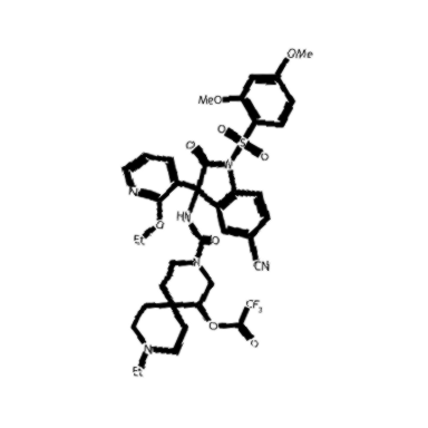 CCOc1ncccc1C1(NC(=O)N2CCC3(CCN(CC)CC3)C(OC(=O)C(F)(F)F)C2)C(=O)N(S(=O)(=O)c2ccc(OC)cc2OC)c2ccc(C#N)cc21